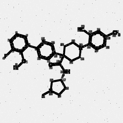 CCOc1c(F)cccc1-c1ccc(C2(C(=O)N[C@@H]3CCN(C)C3)CCN(c3ccc(C(F)(F)F)cc3C#N)CC2)cn1